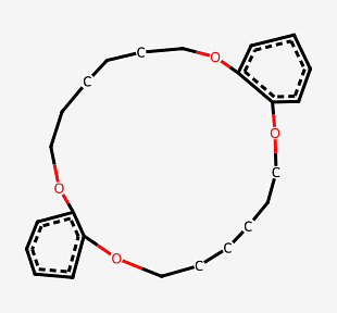 c1ccc2c(c1)OCCCCCCOc1ccccc1OCCCCCCO2